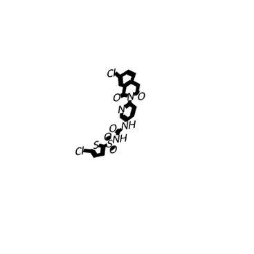 O=C(Nc1ccc(N2C(=O)Cc3ccc(Cl)cc3C2=O)nc1)NS(=O)(=O)c1ccc(Cl)s1